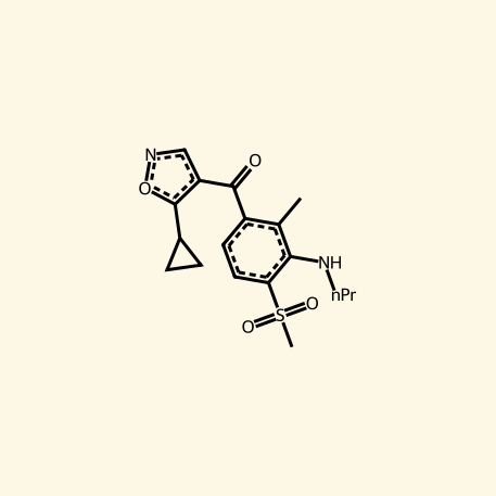 CCCNc1c(S(C)(=O)=O)ccc(C(=O)c2cnoc2C2CC2)c1C